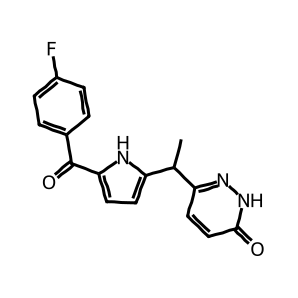 CC(c1ccc(=O)[nH]n1)c1ccc(C(=O)c2ccc(F)cc2)[nH]1